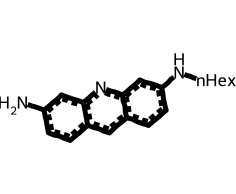 CCCCCCNc1ccc2cc3ccc(N)cc3nc2c1